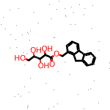 O=C(OCc1cccc2c1Cc1ccccc1-2)C(O)[C@@H](O)[C@H](O)CO